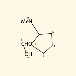 CNC1CCCC1.O=CO